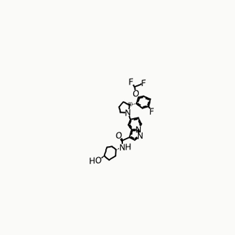 O=C(N[C@H]1CC[C@H](O)CC1)c1cnn2ccc(N3CCC[C@@H]3c3cc(F)ccc3OC(F)F)cc12